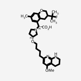 COc1cc(CCCCO[C@@H]2CCN([C@@H](C(=O)O)c3cc(C)cc4c3CC(C(C)(C)F)CO4)C2)nc2c1CCCN2